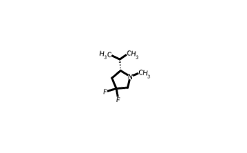 CC(C)[C@H]1CC(F)(F)CN1C